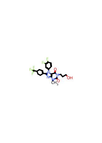 Cn1c(=O)n(CCCO)c(=O)c2c1nc(C1=CCC(C(F)(F)F)CC1)n2-c1ccc(F)c(F)c1